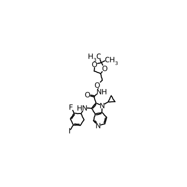 CC1(C)OCC(CONC(=O)c2c(NC3CC=C(I)C=C3F)c3cnccc3n2C2CC2)O1